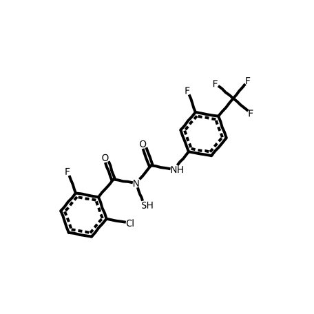 O=C(Nc1ccc(C(F)(F)F)c(F)c1)N(S)C(=O)c1c(F)cccc1Cl